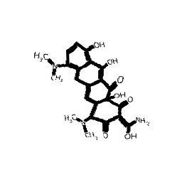 CN(C)c1ccc(O)c2c1CC1CC3C(N(C)C)C(=O)/C(=C(/N)O)C(=O)C3(O)C(=O)C1=C2O